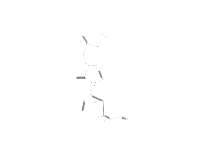 C=C/C=C(F)\C=C(/C=C)n1cnn(C/C(=C/C)CN)c1=O